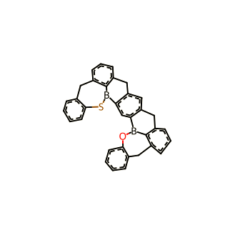 c1ccc2c(c1)Cc1cccc3c1B(O2)c1cc2c(cc1C3)Cc1cccc3c1B2Sc1ccccc1C3